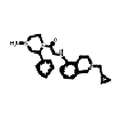 CN1CCN(C(=O)CNc2cccc3c2CCN(CC2CC2)C3)C(c2ccccc2)C1